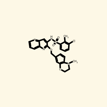 Cc1c(Cl)cccc1S(=O)(=O)Nc1cc2ncccc2nc1OCc1ccc2c(c1)OCCN2C